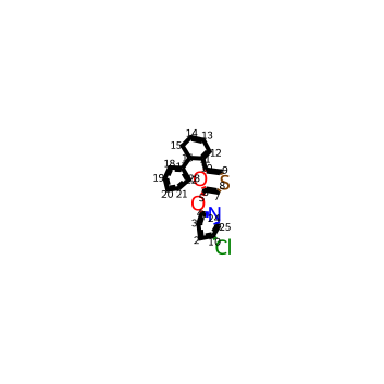 Clc1ccc(OC2=CSC=C(C3=CC=CCC3c3ccccc3)O2)nc1